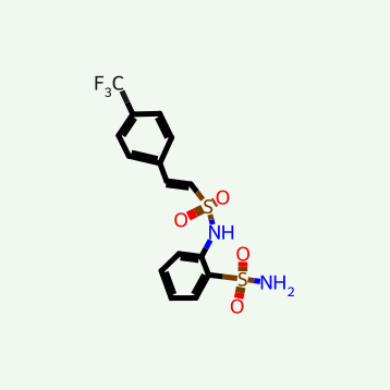 NS(=O)(=O)c1ccccc1NS(=O)(=O)C=Cc1ccc(C(F)(F)F)cc1